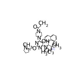 C=CC(=O)N1CCN(c2nc(OC[C@@H]3CCCN3C)nc(N(C)C(/C(C)=C\C)c3cccc4cccc(Cl)c34)c2O)CC1